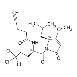 C#CCCC(=O)N[C@H](CCC(Cl)(Cl)Cl)C(=O)N1C(=O)C=C(OC)[C@@H]1CC(C)C